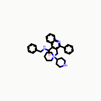 O=C(NCc1ccccc1)c1c(C[N+]2(C3CCNCC3)CCCCC2)c(-c2ccccc2)nc2ccccc12